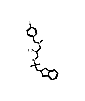 CN(Cc1ccc(Br)cc1)C[C@H](O)CNC(C)(C)CC1Cc2ccccc2C1